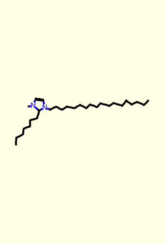 CCCCCCCCCCCCCCCCCCN1C=CN(C)C1CCCCCCC